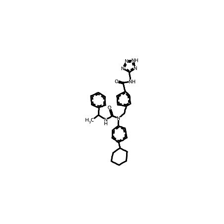 CC(NC(=O)N(Cc1ccc(C(=O)Nc2nn[nH]n2)cc1)c1ccc(C2CCCCC2)cc1)c1ccccc1